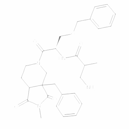 CC(CN)C(=O)N[C@H](COCc1ccccc1)C(=O)N1CCC2C(=O)N(C)C(=O)C2(Cc2ccccc2)C1